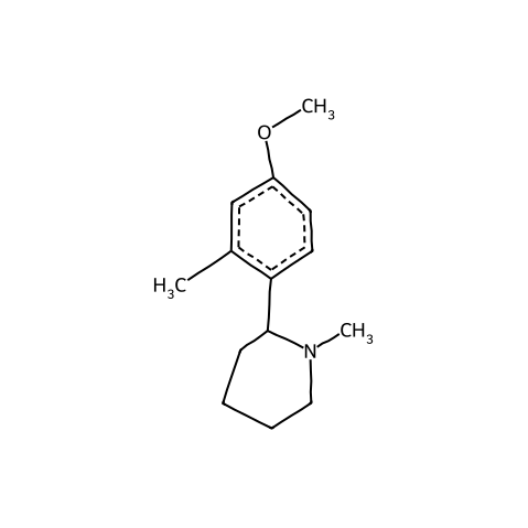 COc1ccc(C2CCCCN2C)c(C)c1